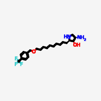 N[C@H]1CN[C@H](CCCCCCCCCCOCc2ccc(C(F)(F)F)cc2)[C@H]1O